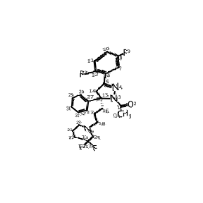 CC(=O)N1N=C(c2cc(F)ccc2F)C[C@]1(CCCN1CCCC(F)(F)C1)c1ccccc1